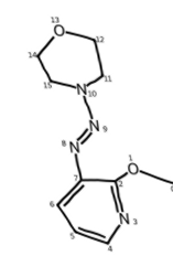 COc1ncccc1N=NN1CCOCC1